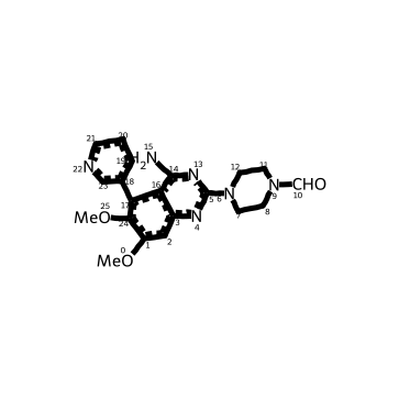 COc1cc2nc(N3CCN(C=O)CC3)nc(N)c2c(-c2cccnc2)c1OC